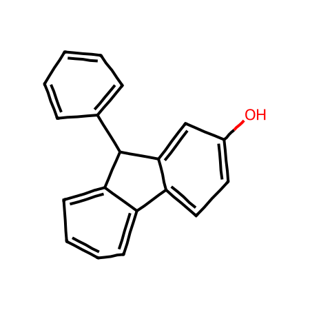 Oc1ccc2c(c1)C(c1ccccc1)c1ccccc1-2